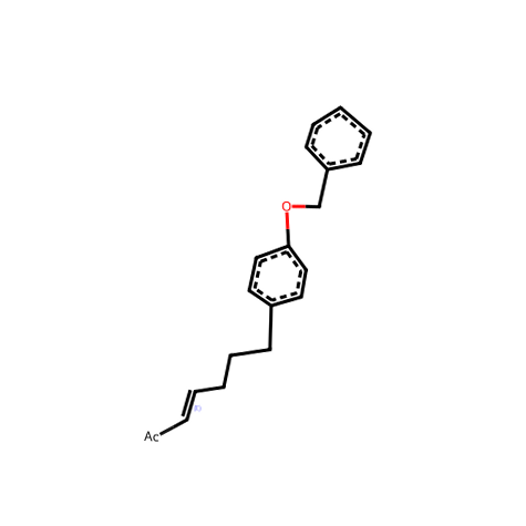 CC(=O)/C=C/CCCc1ccc(OCc2ccccc2)cc1